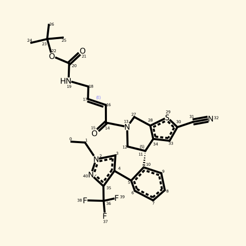 CCn1cc(-c2ccccc2[C@@H]2CN(C(=O)/C=C/CNC(=O)OC(C)(C)C)Cc3sc(C#N)cc32)c(C(F)(F)F)n1